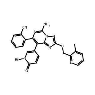 CCn1cc(-c2c(-c3ccccc3C#N)nc(N)n3nc(OCc4ncccc4C)nc23)ccc1=O